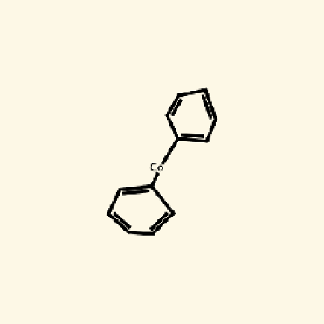 c1cc[c]([Co][c]2ccccc2)cc1